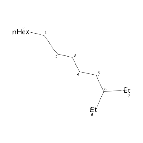 CCCCCCCCCC[CH]C(CC)CC